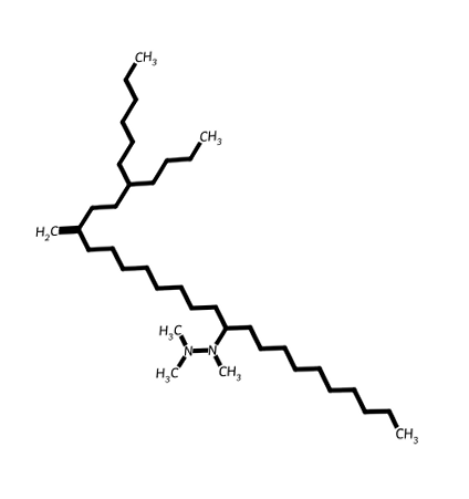 C=C(CCCCCCCCC(CCCCCCCCCC)N(C)N(C)C)CCC(CCCC)CCCCCC